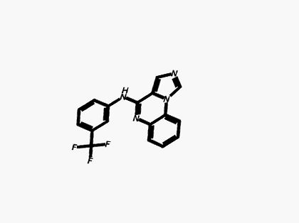 FC(F)(F)c1cccc(Nc2nc3ccccc3n3cncc23)c1